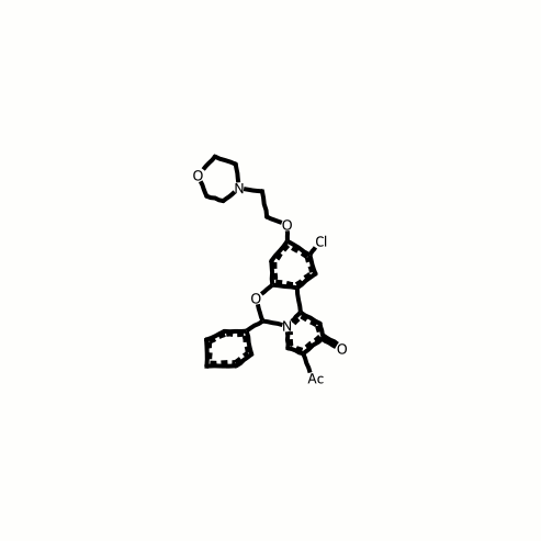 CC(=O)c1cn2c(cc1=O)-c1cc(Cl)c(OCCN3CCOCC3)cc1OC2c1ccccc1